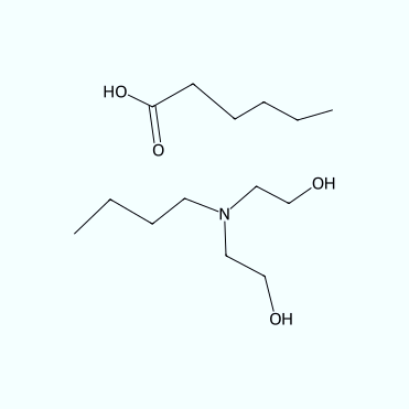 CCCCCC(=O)O.CCCCN(CCO)CCO